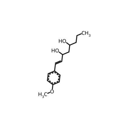 CCCC(O)CC(O)/C=C/c1ccc(OC)cc1